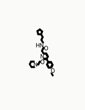 CCOc1ccc(-c2ccc(CC(=O)NCCCC3CCCC3)nc2OCCN2CCCCC2)cc1